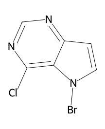 Clc1ncnc2ccn(Br)c12